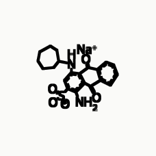 Nc1c(S(=O)(=O)[O-])cc(NC2CCCCCC2)c2c1C(=O)c1ccccc1C2=O.[Na+]